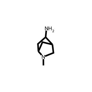 CN1CC2CC1CC2N